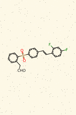 O=CCc1ccccc1S(=O)(=O)c1ccc(C=Cc2ccc(F)cc2F)cc1